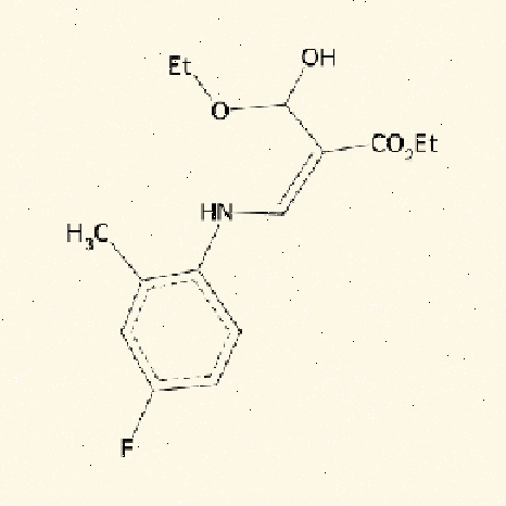 CCOC(=O)/C(=C/Nc1ccc(F)cc1C)C(O)OCC